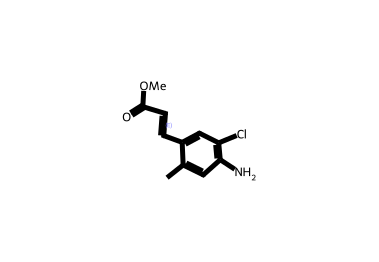 COC(=O)/C=C/c1cc(Cl)c(N)cc1C